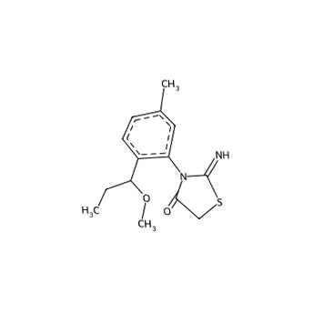 CCC(OC)c1ccc(C)cc1N1C(=N)SCC1=O